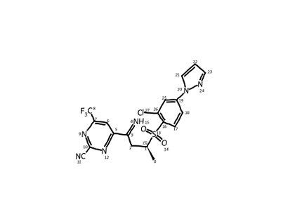 C[C@@H](CC(=N)c1cc(C(F)(F)F)nc(C#N)n1)S(=O)(=O)c1ccc(-n2cccn2)cc1Cl